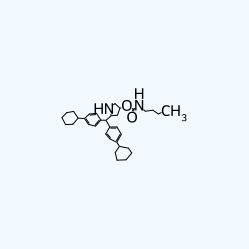 CCCCNC(=O)O[C@H]1CNC(C(c2ccc(C3CCCCC3)cc2)c2ccc(C3CCCCC3)cc2)C1